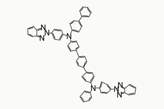 c1ccc(-c2ccc(N(c3ccc(-c4ccc(-c5ccc(N(c6ccccc6)c6ccc(-n7nc8ccccc8n7)cc6)cc5)cc4)cc3)c3ccc(-n4nc5ccccc5n4)cc3)cc2)cc1